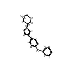 c1ccc(Oc2ccc(-c3ccn(C4CCCNC4)c3)cc2)cc1